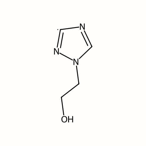 OCCn1cn[c]n1